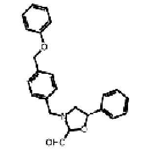 O=CC1O[C@H](c2ccccc2)CN1Cc1ccc(COc2ccccc2)cc1